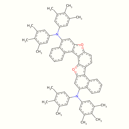 Cc1cc(N(c2cc(C)c(C)c(C)c2)c2cc3oc4c(ccc5oc6cc(N(c7cc(C)c(C)c(C)c7)c7cc(C)c(C)c(C)c7)c7ccccc7c6c54)c3c3ccccc23)cc(C)c1C